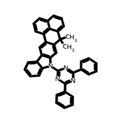 CC1(C)c2cc3c(cc2-c2cccc4cccc1c24)c1ccccc1n3-c1nc(-c2ccccc2)nc(-c2ccccc2)n1